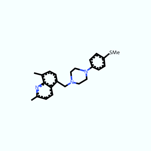 CSc1ccc(N2CCN(Cc3ccc(C)c4nc(C)ccc34)CC2)cc1